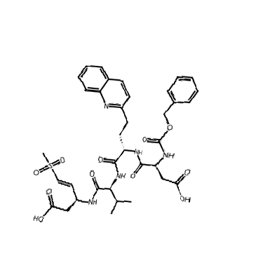 CC(C)[C@H](NC(=O)[C@H](CCc1ccc2ccccc2n1)NC(=O)[C@H](CC(=O)O)NC(=O)OCc1ccccc1)C(=O)N[C@H](/C=C/S(C)(=O)=O)CC(=O)O